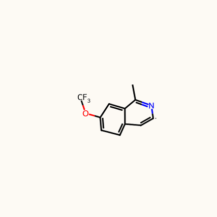 Cc1n[c]cc2ccc(OC(F)(F)F)cc12